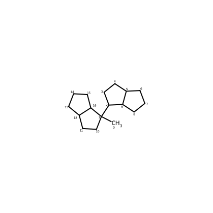 CC1(C2CCC3CCCC32)CCC2CCCC21